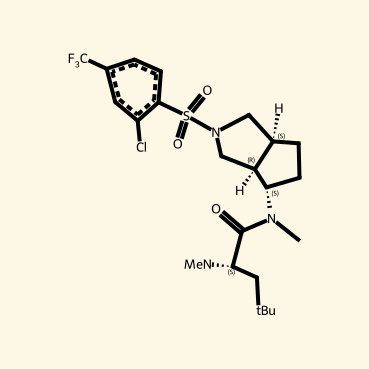 CN[C@@H](CC(C)(C)C)C(=O)N(C)[C@H]1CC[C@@H]2CN(S(=O)(=O)c3ccc(C(F)(F)F)cc3Cl)C[C@@H]21